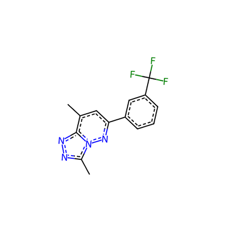 Cc1cc(-c2cccc(C(F)(F)F)c2)nn2c(C)nnc12